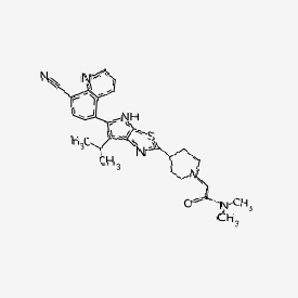 CC(C)c1c(-c2ccc(C#N)c3ncccc23)[nH]c2sc(C3CCN(CC(=O)N(C)C)CC3)nc12